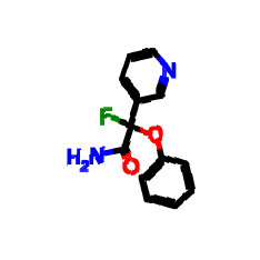 NC(=O)C(F)(Oc1ccccc1)c1cccnc1